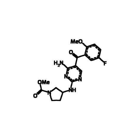 COC(=O)N1CCC(Nc2ncc(C(=O)c3cc(F)ccc3OC)c(N)n2)C1